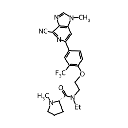 CCN(CCOc1ccc(-c2cc3c(ncn3C)c(C#N)n2)cc1C(F)(F)F)C(=O)[C@@H]1CCCN1C